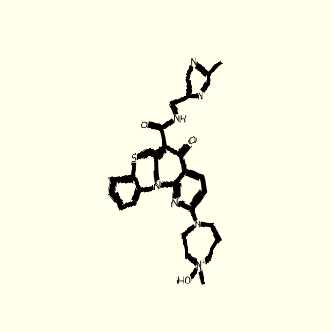 Cc1cnc(CNC(=O)c2c(=O)c3ccc(N4CCC[N+](C)(O)CC4)nc3n3c2sc2ccccc23)cn1